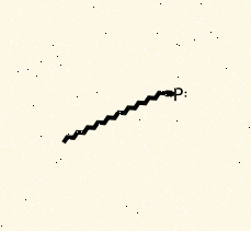 CCCCCCCCCCCCCCCCCCCCC#C[P]